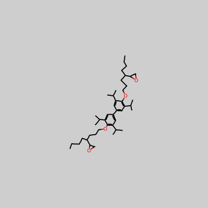 CCCCC(CCCOc1c(C(C)C)cc(-c2cc(C(C)C)c(OCCCC(CCCC)C3CO3)c(C(C)C)c2)cc1C(C)C)C1CO1